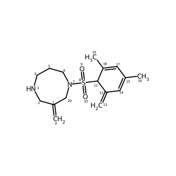 C=C1CNCCCN(S(=O)(=O)C2C(=C)C=C(C)C=C2C)C1